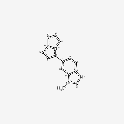 Cn1nnc2ccc(-c3csc4n[c]cn34)cc21